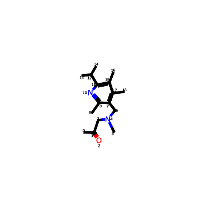 CC(=O)CN(C)Cc1c(C)nc(C(C)C)c(C)c1C